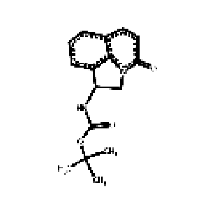 CC(C)(C)OC(=O)NC1Cn2c(=O)ccc3cccc1c32